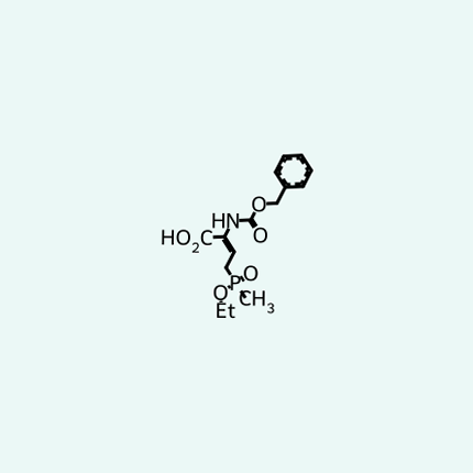 CCOP(C)(=O)CC=C(NC(=O)OCc1ccccc1)C(=O)O